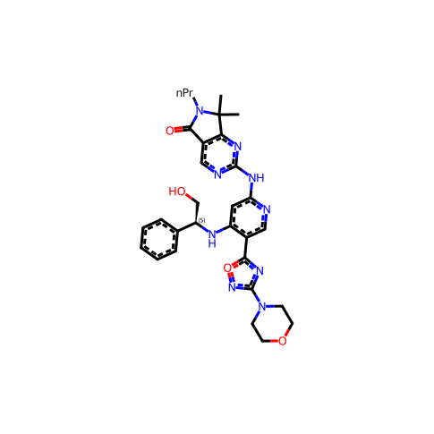 CCCN1C(=O)c2cnc(Nc3cc(N[C@H](CO)c4ccccc4)c(-c4nc(N5CCOCC5)no4)cn3)nc2C1(C)C